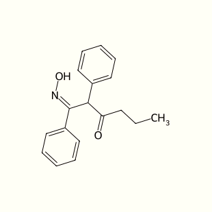 CCCC(=O)C(C(=NO)c1ccccc1)c1ccccc1